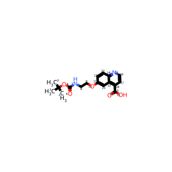 CC(C)(C)OC(=O)NCCOc1ccc2nccc(C(=O)O)c2c1